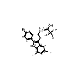 NCCc1c(-c2ccc(F)cc2)[nH]c2c(F)cc(F)cc12.O=C(O)C(F)(F)F